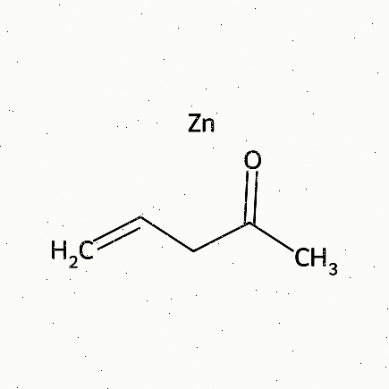 C=CCC(C)=O.[Zn]